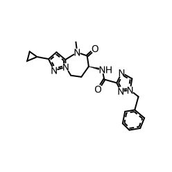 CN1C(=O)[C@@H](NC(=O)c2ncn(Cc3ccccc3)n2)CCn2nc(C3CC3)cc21